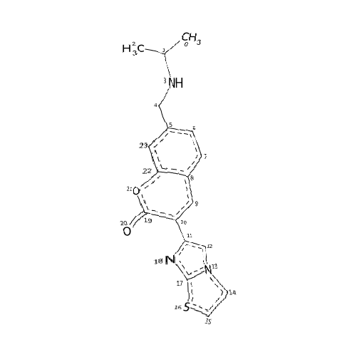 CC(C)NCc1ccc2cc(-c3cn4ccsc4n3)c(=O)oc2c1